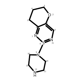 C1=C2OCCCC2=NS(N2CCNCC2)=N1